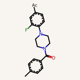 CC(=O)c1ccc(N2CCN(C(=O)c3ccc(C)cc3)CC2)c(F)c1